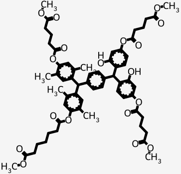 COC(=O)CCCCCC(=O)Oc1cc(C)c(C(c2ccc(C(c3ccc(OC(=O)CCCC(=O)OC)cc3O)c3ccc(OC(=O)CCCC(=O)OC)cc3O)cc2)c2cc(C)c(OC(=O)CCCC(=O)OC)cc2C)cc1C